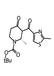 Cc1nc(C(=O)C2C(=O)CCN(C(=O)OC(C)(C)C)[C@H]2C)cs1